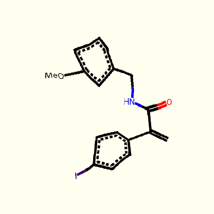 C=C(C(=O)NCc1cccc(OC)c1)c1ccc(I)cc1